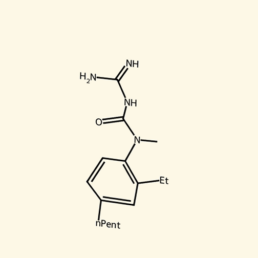 CCCCCc1ccc(N(C)C(=O)NC(=N)N)c(CC)c1